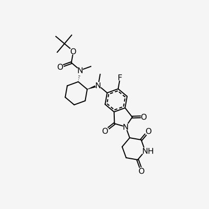 CN(C(=O)OC(C)(C)C)[C@H]1CCCC[C@@H]1N(C)c1cc2c(cc1F)C(=O)N(C1CCC(=O)NC1=O)C2=O